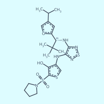 CC(C)c1coc([C@H](Nc2nsnc2Nc2csc(S(=O)(=O)N3CCCC3)c2O)C(C)(C)C)c1